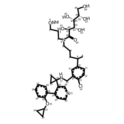 COCCCN(CCCC(C)c1ccc(Cl)c(CNC2(c3cnccc3-c3ccccc3OC3CC3)CC2)c1)C(=O)[C@@H](O)[C@@H](O)[C@H](O)[C@@H](O)CO